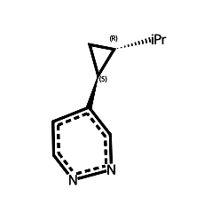 CC(C)[C@H]1C[C@@H]1c1ccnnc1